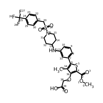 COC(=O)c1sc(-c2cccc(NC3CCN(S(=O)(=O)Cc4ccc(C(F)(F)F)cc4)CC3)c2)c(C)c1OCC(=O)O